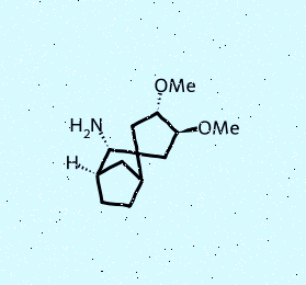 CO[C@H]1CC2(C[C@@H]1OC)C1CC[C@H](C1)[C@@H]2N